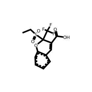 CCS(=O)(=O)C1(C(F)(F)F)Oc2ccccc2C=C1C(=O)O